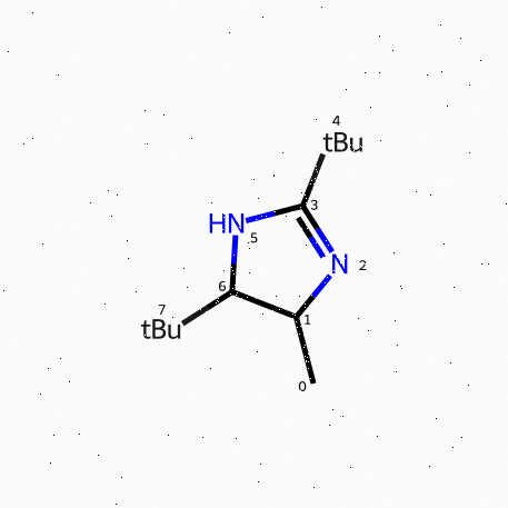 CC1N=C(C(C)(C)C)NC1C(C)(C)C